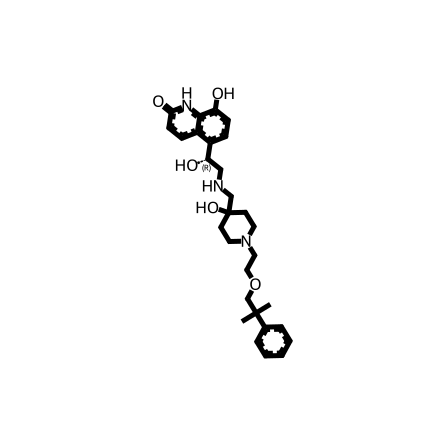 CC(C)(COCCN1CCC(O)(CNC[C@H](O)c2ccc(O)c3[nH]c(=O)ccc23)CC1)c1ccccc1